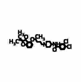 CC(C)=C1Oc2cccc(OC(C)CCCN3CCC(NC(=O)c4ccc(Cl)c(Cl)c4)CC3)c2C1=O